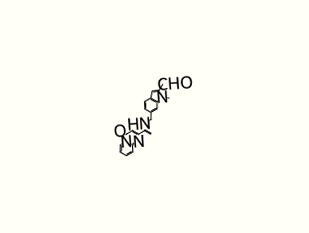 C=C(NCc1ccc2cc(C=O)n(C)c2c1)c1cc(=O)n2ccccc2n1